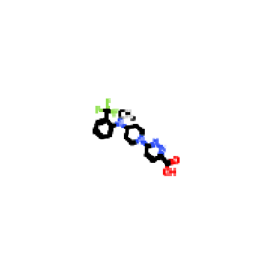 CN(c1ccccc1C(F)(F)F)C1CCN(c2ccc(C(=O)O)nn2)CC1